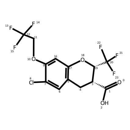 O=C(O)[C@@H]1Cc2cc(Cl)c(OCC(F)(F)F)cc2O[C@@H]1C(F)(F)F